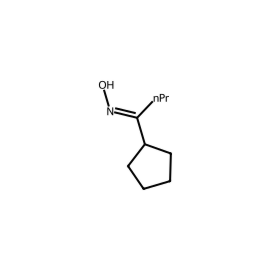 CCCC(=NO)C1CCCC1